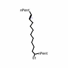 [CH2]CCCC/C=C/CCCCCCCCC(CC)CCCC[CH2]